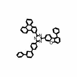 c1ccc(-c2cccc(-c3ccc(-c4nc(-c5ccc6c(c5)oc5cccc(-c7ccccc7)c56)nc(-c5ccc6c7ccccc7c7ccccc7c6c5)n4)cc3)c2)cc1